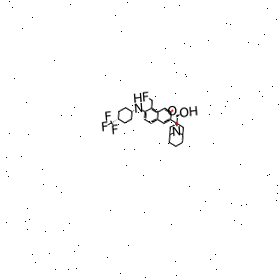 O=C(O)C1CC2CCCC(C1)N2Cc1ccc2c(CF)c(N[C@H]3CC[C@@H](C(F)(F)F)CC3)ccc2c1